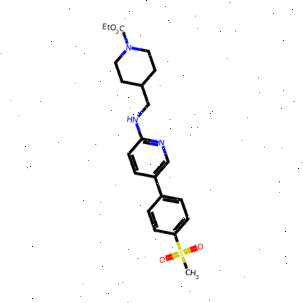 CCOC(=O)N1CCC(CNc2ccc(-c3ccc(S(C)(=O)=O)cc3)cn2)CC1